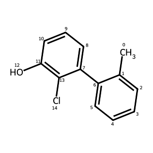 Cc1ccccc1-c1cccc(O)c1Cl